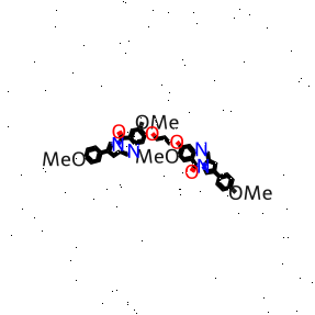 COc1ccc(C2=CN3C(=O)c4cc(OC)c(OCCCOc5cc6c(cc5OC)C(=O)N5C=C(c7ccc(OC)cc7)CC5C=N6)cc4N=CC3C2)cc1